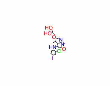 C=C1C(OC[C@H](O)CO)=CN(C)c2c1c(Nc1ccc(I)cc1Cl)cc(=O)n2C